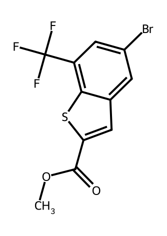 COC(=O)c1cc2cc(Br)cc(C(F)(F)F)c2s1